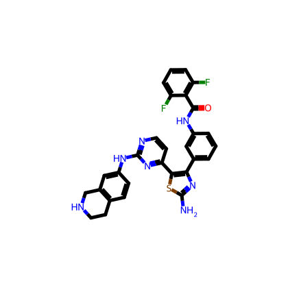 Nc1nc(-c2cccc(NC(=O)c3c(F)cccc3F)c2)c(-c2ccnc(Nc3ccc4c(c3)CNCC4)n2)s1